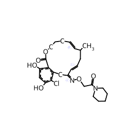 CC1/C=C/CCCOC(=O)c2c(O)cc(O)c(Cl)c2CC(=N/OCC(=O)N2CCCCC2)/C=C/C1